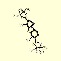 Cc1c(B2OC(C)(C)C(C)(C)O2)ccc2c1oc1c(C)c(B3OC(C)(C)C(C)(C)O3)ccc12